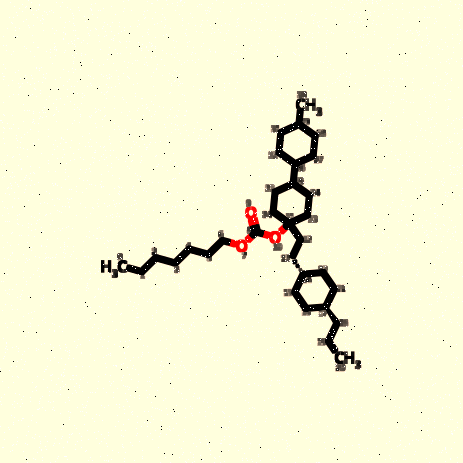 CCCCCCCOC(=O)OC1(CC[C@H]2CC[C@H](CCC)CC2)CCC(C2CCC(C)CC2)CC1